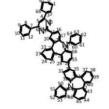 c1ccc(-c2cc(-c3ccccc3)nc(-c3ccc4c(c3)-c3ccccc3-c3cc(-c5ccc6c(c5)-c5ccccc5-c5ccccc5N6c5ccccc5)ccc3N4c3ccccc3)n2)cc1